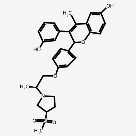 CC1=C(c2cccc(O)c2)C(c2ccc(OC[C@H](C)N3CC[C@@H](S(C)(=O)=O)C3)cc2)Oc2ccc(O)cc21